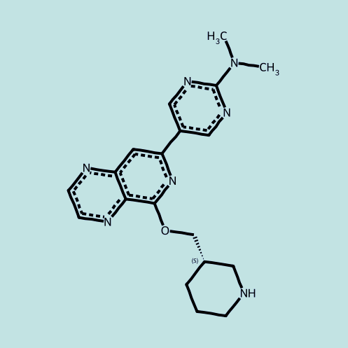 CN(C)c1ncc(-c2cc3nccnc3c(OC[C@H]3CCCNC3)n2)cn1